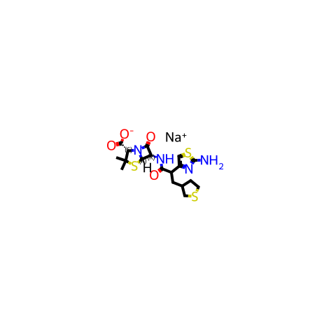 CC1(C)S[C@@H]2[C@H](NC(=O)C(CC3CCSC3)c3csc(N)n3)C(=O)N2[C@H]1C(=O)[O-].[Na+]